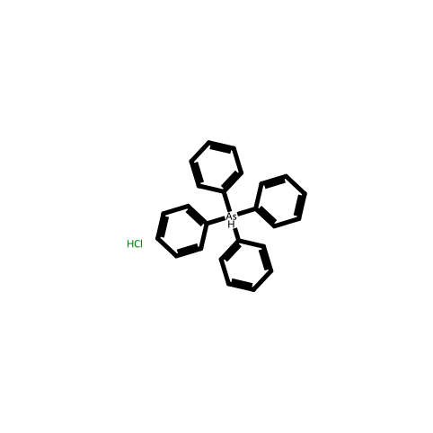 Cl.c1ccc([AsH](c2ccccc2)(c2ccccc2)c2ccccc2)cc1